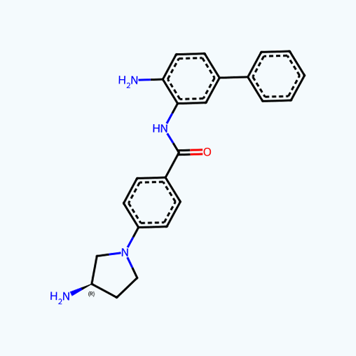 Nc1ccc(-c2ccccc2)cc1NC(=O)c1ccc(N2CC[C@@H](N)C2)cc1